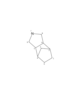 C1CC2CC1C1C[N]CC21